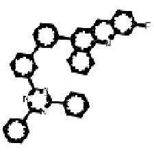 Fc1ccc2cc3cc(-c4cccc(-c5cccc(-c6nc(-c7ccccc7)nc(-c7ccccc7)n6)c5)c4)c4ccccc4c3nc2c1